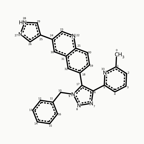 Cc1cccc(-c2nnn(Cc3ccccc3)c2-c2ccc3ncc(-c4cn[nH]c4)cc3c2)n1